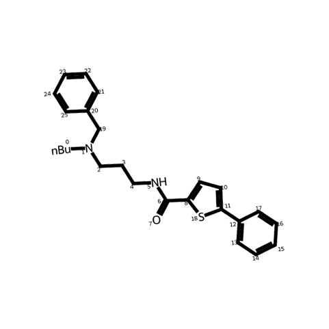 CCCCN(CCCNC(=O)c1ccc(-c2ccccc2)s1)Cc1ccccc1